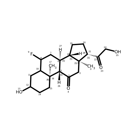 C[C@]12CC(=O)[C@H]3[C@@H](CC(F)C4CC(O)CC[C@@]43C)[C@@H]1CC[C@@H]2C(=O)CO